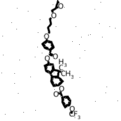 CC1(C)c2cc(OC(=O)c3ccc(OCCCCOCC4CO4)cc3)ccc2-c2ccc(OC(=O)c3ccc(OC(F)(F)F)cc3)cc21